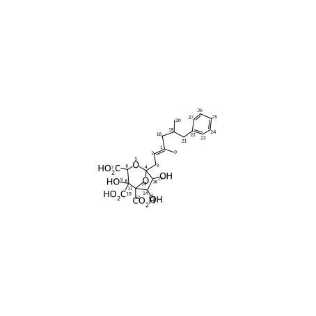 C/C(=C\CC12OC(C(=O)O)C(O)(C(=O)O)C(C(=O)O)(O1)C(O)C2O)CC(C)Cc1ccccc1